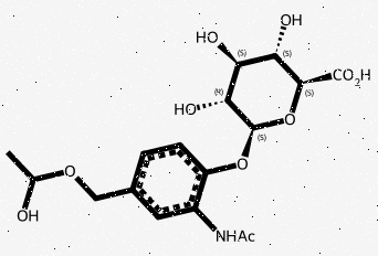 CC(=O)Nc1cc(COC(C)O)ccc1O[C@@H]1O[C@H](C(=O)O)[C@@H](O)[C@H](O)[C@H]1O